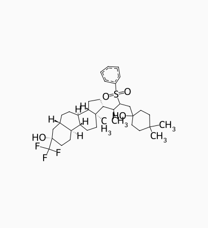 C[C@H](C(CC1(O)CCC(C)(C)CC1)S(=O)(=O)c1ccccc1)[C@H]1CC[C@H]2[C@@H]3CC[C@H]4C[C@](O)(C(F)(F)F)CC[C@@H]4[C@H]3CC[C@]12C